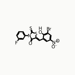 O=C1C(=Cc2cc([N+](=O)[O-])cc(Br)c2O)SC(=S)N1c1cccc(F)c1